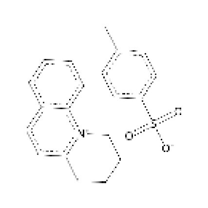 Cc1ccc(S(=O)(=O)[O-])cc1.c1ccc2c(c1)ccc1[n+]2CCCC1